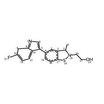 CC1c2cc(C3=CN=C4CC(F)=CC=C34)ccc2SN1CCO